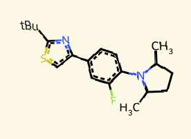 CC1CCC(C)N1c1ccc(-c2csc(C(C)(C)C)n2)cc1F